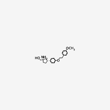 COc1ccc(CCOc2ccc([C@@H]3CC[C@@](N)(CO)C3)cc2)cc1